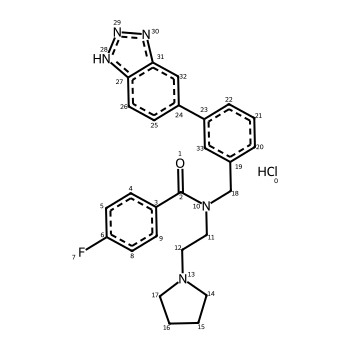 Cl.O=C(c1ccc(F)cc1)N(CCN1CCCC1)Cc1cccc(-c2ccc3[nH]nnc3c2)c1